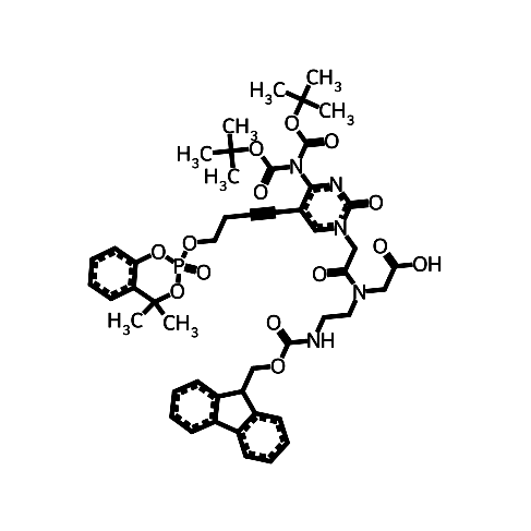 CC(C)(C)OC(=O)N(C(=O)OC(C)(C)C)c1nc(=O)n(CC(=O)N(CCNC(=O)OCC2c3ccccc3-c3ccccc32)CC(=O)O)cc1C#CCCOP1(=O)Oc2ccccc2C(C)(C)O1